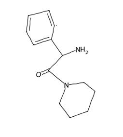 NC(C(=O)N1CCCCC1)c1[c]cccc1